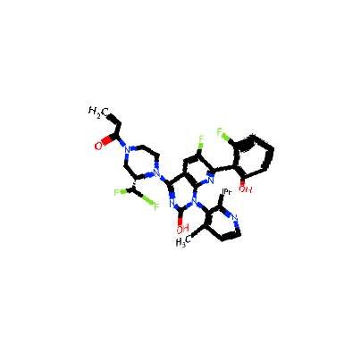 C=CC(=O)N1CCN(C2=NC(O)N(c3c(C)ccnc3C(C)C)c3nc(-c4c(O)cccc4F)c(F)cc32)[C@H](C(F)F)C1